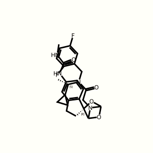 CNC(=O)Nc1ccc2c(c1)CC[C@@]21OC2OC1N2CC(=O)N(Cc1cc(F)ccc1F)[C@@H](C)C1CC1